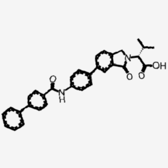 CC(C)[C@H](C(=O)O)N1Cc2ccc(-c3ccc(NC(=O)c4ccc(-c5ccccc5)cc4)cc3)cc2C1=O